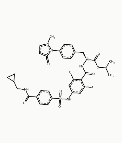 CC(C)OC(=O)[C@H](Cc1ccc(-n2c(=O)ccn2C)cc1)NC(=O)c1c(F)cc(NS(=O)(=O)c2ccc(C(=O)NCC3CC3)cc2)cc1F